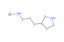 CCNCCCC1CCNC1